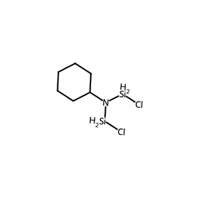 Cl[SiH2]N([SiH2]Cl)C1CCCCC1